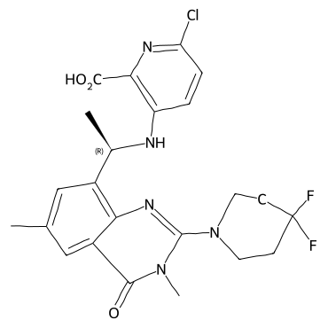 Cc1cc([C@@H](C)Nc2ccc(Cl)nc2C(=O)O)c2nc(N3CCC(F)(F)CC3)n(C)c(=O)c2c1